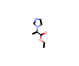 C=COC(=O)C(=C)n1ccnc1